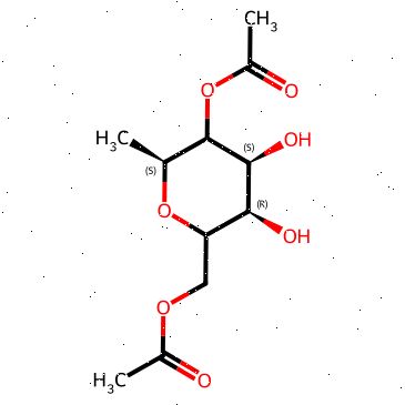 CC(=O)OCC1O[C@@H](C)C(OC(C)=O)[C@@H](O)[C@H]1O